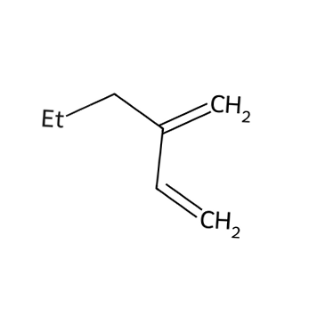 C=CC(=C)CCC